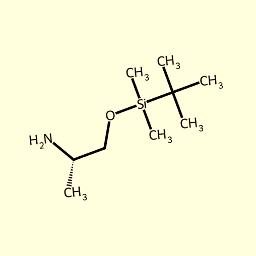 C[C@H](N)CO[Si](C)(C)C(C)(C)C